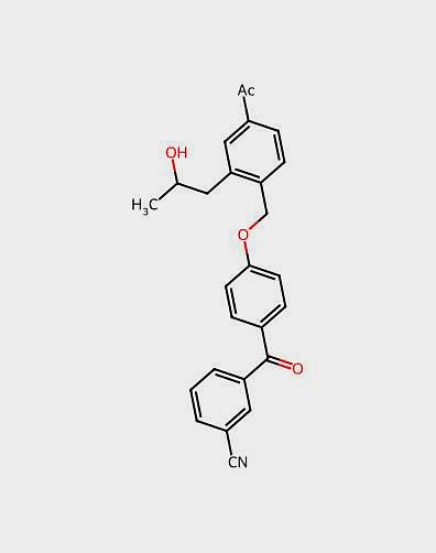 CC(=O)c1ccc(COc2ccc(C(=O)c3cccc(C#N)c3)cc2)c(CC(C)O)c1